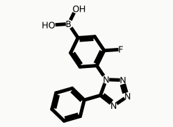 OB(O)c1ccc(-n2nnnc2-c2ccccc2)c(F)c1